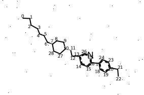 CCCCCCC[C@H]1CC[C@H](CCc2ccc(-c3ccc(CC)cc3)nc2)CC1